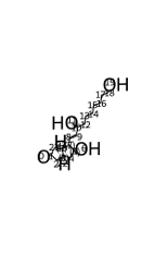 O=C1C[C@H]2C[C@@H](O)[C@H](C=CC(O)CCCCCCCO)[C@@H]2C1